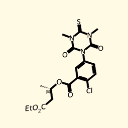 CCOC(=O)C[C@H](C)OC(=O)c1cc(-n2c(=O)n(C)c(=S)n(C)c2=O)ccc1Cl